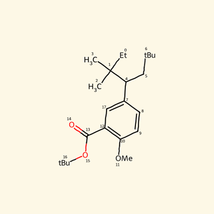 CCC(C)(C)C(CC(C)(C)C)c1ccc(OC)c(C(=O)OC(C)(C)C)c1